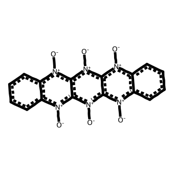 [O-][n+]1c2ccccc2[n+]([O-])c2c1[n+]([O-])c1c([n+]([O-])c3ccccc3[n+]1[O-])[n+]2[O-]